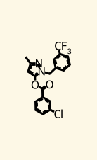 Cc1cc(OC(=O)c2cccc(Cl)c2)n(Cc2cccc(C(F)(F)F)c2)n1